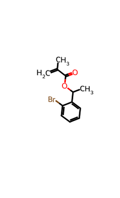 C=C(C)C(=O)OC(C)c1ccccc1Br